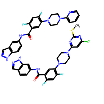 CSc1nc(Cl)cc(N2CCN(c3cc(C(=O)Nc4ccc5cn[nH]c5c4)c(F)cc3F)CC2)n1.O=C(Nc1ccc2[nH]ncc2c1)c1cc(N2CCN(c3ccccn3)CC2)c(F)cc1F